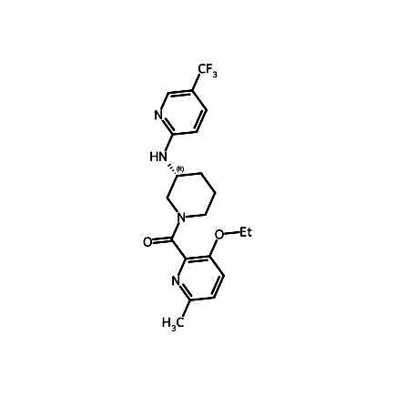 CCOc1ccc(C)nc1C(=O)N1CCC[C@@H](Nc2ccc(C(F)(F)F)cn2)C1